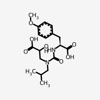 COc1ccc(C[C@H](NC(=O)N(CC(C)C)CC(O)C(=O)O)C(=O)O)cc1